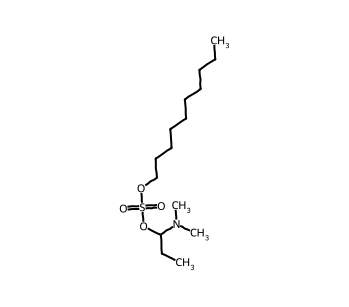 CCCCCCCCCCOS(=O)(=O)OC(CC)N(C)C